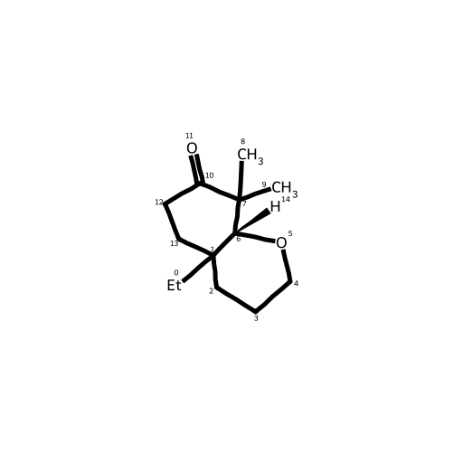 CCC12CCCO[C@H]1C(C)(C)C(=O)CC2